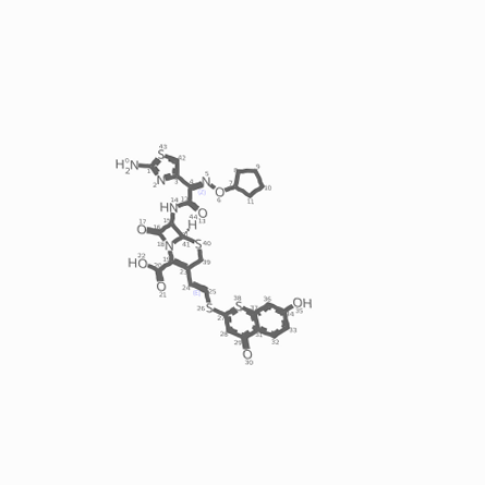 Nc1nc(/C(=N/OC2CCCC2)C(=O)NC2C(=O)N3C(C(=O)O)=C(/C=C/Sc4cc(=O)c5ccc(O)cc5s4)CS[C@H]23)cs1